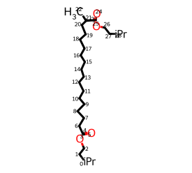 CC(C)CCOC(=O)CCCCCCCCCCCCCCCC(C)C(=O)OCCC(C)C